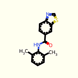 Cc1cccc(C)c1NC(=O)c1ccc2ncsc2c1